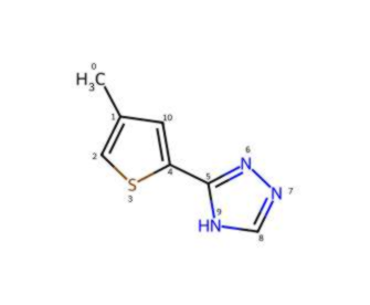 Cc1csc(-c2nnc[nH]2)c1